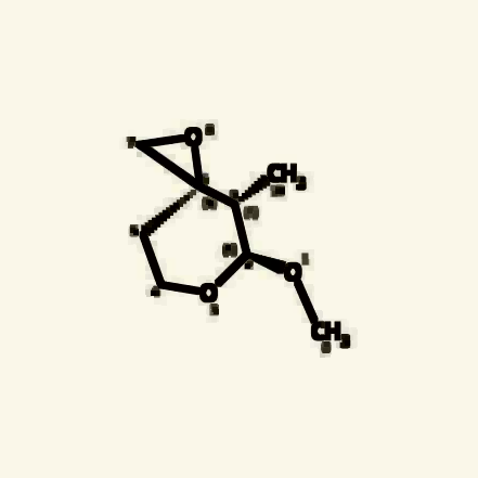 CO[C@H]1OCC[C@@]2(CO2)[C@@H]1C